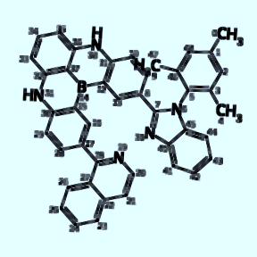 Cc1cc(C)c(-n2c(-c3ccc4c(c3)B3c5cc(-c6nccc7ccccc67)ccc5Nc5cccc(c53)N4)nc3ccccc32)c(C)c1